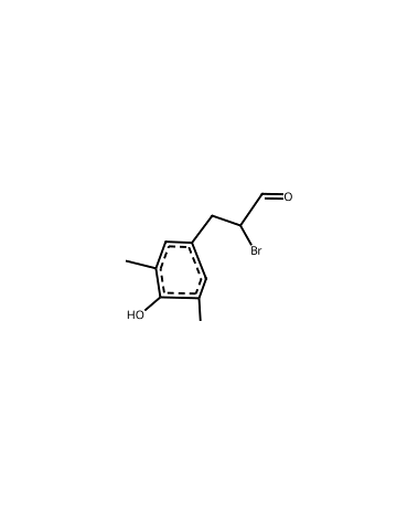 Cc1cc(CC(Br)C=O)cc(C)c1O